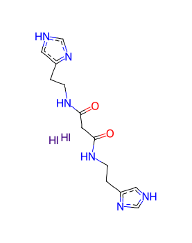 I.I.O=C(CC(=O)NCCc1c[nH]cn1)NCCc1c[nH]cn1